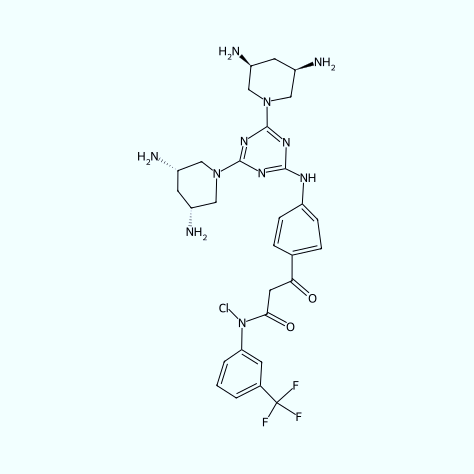 N[C@@H]1C[C@H](N)CN(c2nc(Nc3ccc(C(=O)CC(=O)N(Cl)c4cccc(C(F)(F)F)c4)cc3)nc(N3C[C@H](N)C[C@H](N)C3)n2)C1